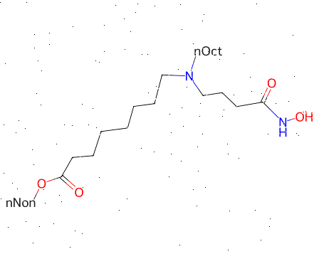 CCCCCCCCCOC(=O)CCCCCCCN(CCCCCCCC)CCCC(=O)NO